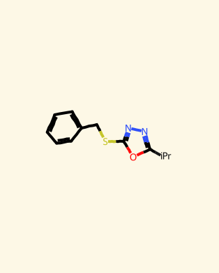 CC(C)c1nnc(SCc2ccccc2)o1